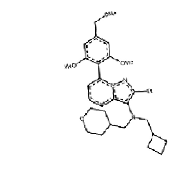 CCc1nn2c(-c3c(OC)cc(COC)cc3OC)cccc2c1N(CC1CCC1)CC1CCOCC1